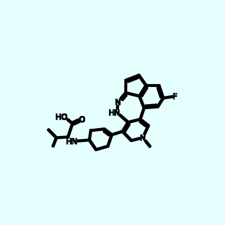 CC(C)[C@@H](NC1CC=C(C2=C3NN=C4C=Cc5cc(F)cc(c54)C3=CN(C)C2)CC1)C(=O)O